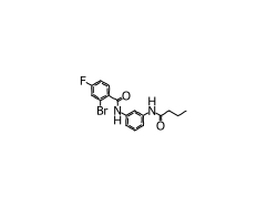 CCCC(=O)Nc1cccc(NC(=O)c2ccc(F)cc2Br)c1